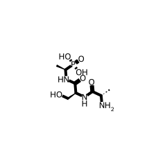 C[C@H](N)C(=O)N[C@@H](CO)C(=O)N[C@@H](C)P(=O)(O)O